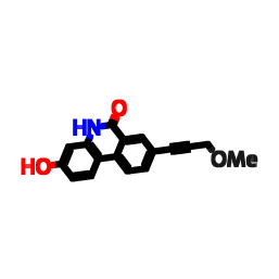 COCC#Cc1ccc2c(c1)c(=O)[nH]c1cc(O)ccc12